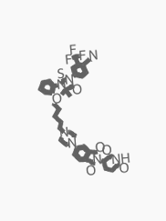 CC1(C)C(=O)N(c2ccc(C#N)c(C(F)(F)F)c2)C(=S)N1c1ccccc1OCCCCCN1CCN(c2ccc3c(c2)C(=O)N(C2CCC(=O)NC2=O)C3=O)CC1